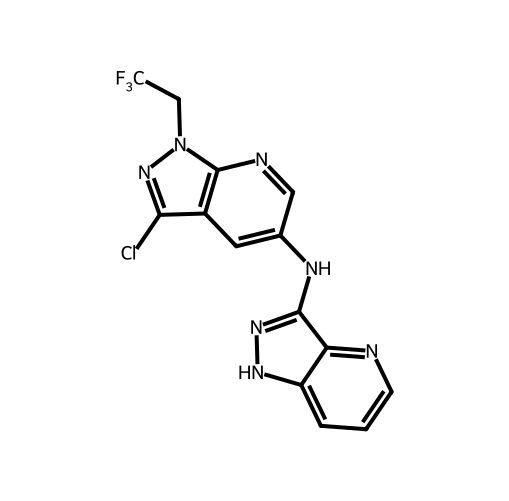 FC(F)(F)Cn1nc(Cl)c2cc(Nc3n[nH]c4cccnc34)cnc21